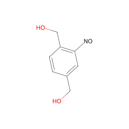 O=Nc1cc(CO)ccc1CO